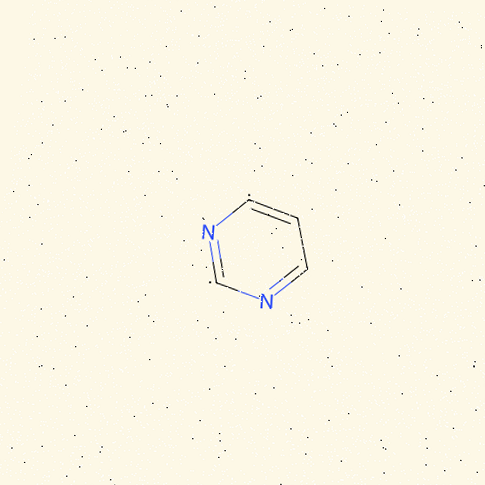 [c]1ccn[c]n1